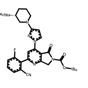 CC(=O)N[C@@H]1CCCN(c2ccn(-c3cc(-c4c(F)cccc4C#N)nc4c3C(=O)N(C(=O)OC(C)(C)C)C4)n2)C1